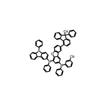 CC1(c2ccccc2)c2ccccc2-c2c(-c3ccc4oc5c(N(c6ccccc6)c6ccc7c(c6)c6ccccc6n7-c6ccccc6)cc(N(c6ccccc6)c6cccc(C#N)c6)cc5c4c3)cccc21